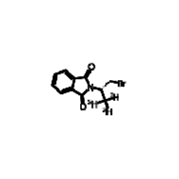 [2H]C([2H])([2H])[C@@H](CBr)N1C(=O)c2ccccc2C1=O